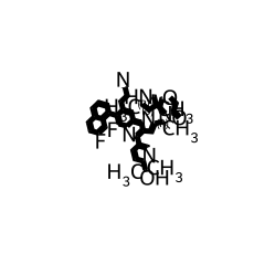 C[C@@H]1CN[C@H](C)[C@H]1n1c([C@@H](C)N2CCOCC2=O)cc2c(-c3ccc(C(C)(C)O)nc3)nc3c(F)c(-c4cccc5ccc(F)cc45)c(CCC#N)cc3c21